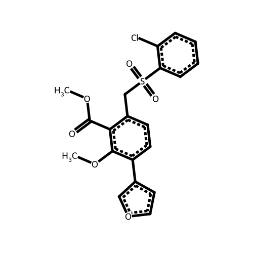 COC(=O)c1c(CS(=O)(=O)c2ccccc2Cl)ccc(-c2ccoc2)c1OC